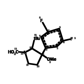 COC1(c2cc(F)cc(F)c2)CCN(C(=O)O)C1C(C)(C)C